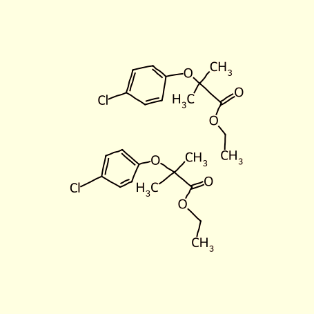 CCOC(=O)C(C)(C)Oc1ccc(Cl)cc1.CCOC(=O)C(C)(C)Oc1ccc(Cl)cc1